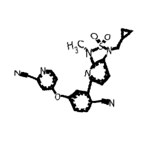 CN1c2nc(-c3cc(Oc4ccnc(C#N)c4)ccc3C#N)ccc2N(CC2CC2)S1(=O)=O